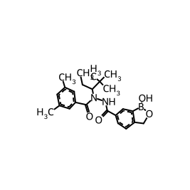 CCC(N(NC(=O)c1ccc2c(c1)B(O)OC2)C(=O)c1cc(C)cc(C)c1)C(C)(C)C